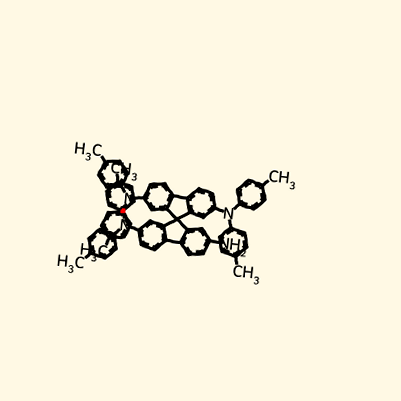 Cc1ccc(N(c2ccc(C)cc2)c2ccc3c(c2)C2(c4cc(N)ccc4-3)c3cc(N(c4ccc(C)cc4)c4ccc(C)cc4)ccc3-c3ccc(N(c4ccc(C)cc4)c4ccc(C)cc4)cc32)cc1